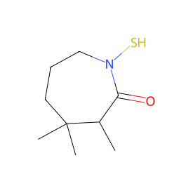 CC1C(=O)N(S)CCCC1(C)C